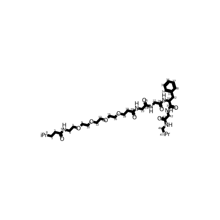 CC(C)CCC(=O)NCCOCCOCCOCCOCCC(=O)NCC(=O)NCC(=O)NC(Cc1ccccc1)C(=O)NCC(=O)NCC(C)C